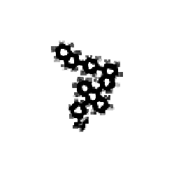 C[Si](C)(C)c1cccc(-c2c3ccccc3c(-c3ccc4cccc(-c5ccc(-c6ccc7c(c6)C=CCC7)cc5)c4c3)c3ccccc23)c1